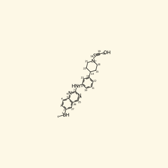 CBc1ccc2nc(Nc3cccc(C4CCN(S#CO)CC4)c3)ncc2c1